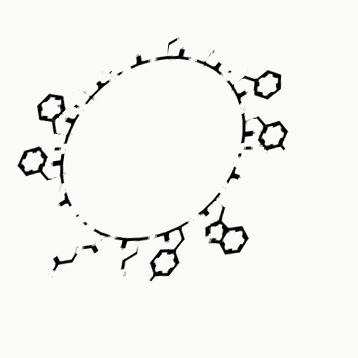 CCCC[C@H]1C(=O)N(C)CC(=O)N[C@@H](CC(=O)O)C(=O)N[C@@H](C(C)C)C(=O)N(C)[C@@H](Cc2ccccc2)C(=O)N[C@@H](Cc2ccc(O)cc2)C(=O)N(C)CC(=O)N[C@@H](Cc2c[nH]c3ccccc23)C(=O)NC(Cc2ccc(O)cc2)C(=O)N[C@@H](CCN)C(=O)N[C@H](C(=O)NCC(N)=O)CSCC(=O)N[C@@H](Cc2ccccc2)C(=O)N(C)[C@@H](Cc2ccccc2)C(=O)N1C